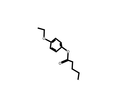 [CH2]CCCC(=O)Oc1ccc(OCC)cc1